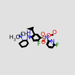 CN(C)[C@H]1CCCC[C@@H]1Nc1cc(F)c(S(=O)(=O)N(OC=O)c2cccc(F)n2)cc1C1CC1